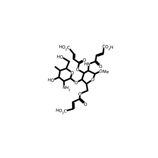 COC1OC(COC(=O)/C=C/C(=O)O)C(OC2OC(CO)C(C)C(O)C2N)C(OC(=O)/C=C/C(=O)O)C1NC(=O)/C=C/C(=O)O